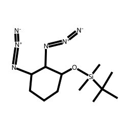 CC(C)(C)[Si](C)(C)OC1CCCC(N=[N+]=[N-])C1N=[N+]=[N-]